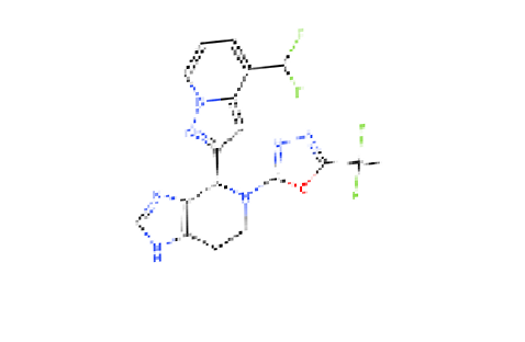 CC(F)(F)c1nnc(N2CCc3[nH]cnc3[C@H]2c2cc3c(C(F)F)cccn3n2)o1